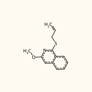 C=CCSc1nc(OC)cc2ccccc12